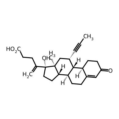 C=C(CCC(=O)O)[C@]1(O)CC[C@H]2[C@@H]3CCC4=CC(=O)CC[C@@H]4[C@H]3[C@@H](C#CC)C[C@@]21C